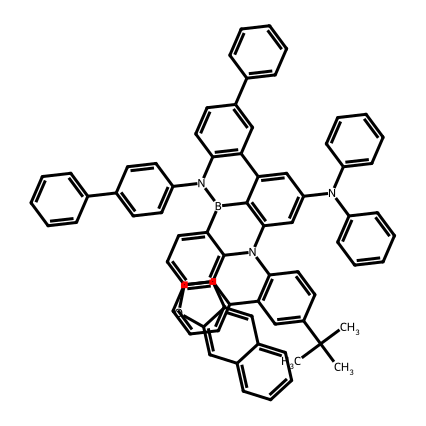 CC(C)(C)c1ccc(N2c3cc(N(c4ccccc4)c4ccccc4)cc4c3B(c3ccc5oc6cc7ccccc7cc6c5c32)N(c2ccc(-c3ccccc3)cc2)c2ccc(-c3ccccc3)cc2-4)c(-c2ccccc2)c1